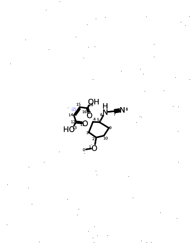 COC1CCC(NC#N)CC1.O=C(O)/C=C\C(=O)O